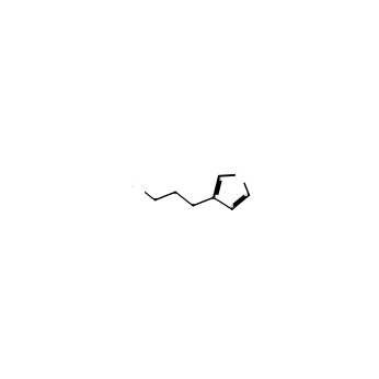 [O]CCCc1ccsc1